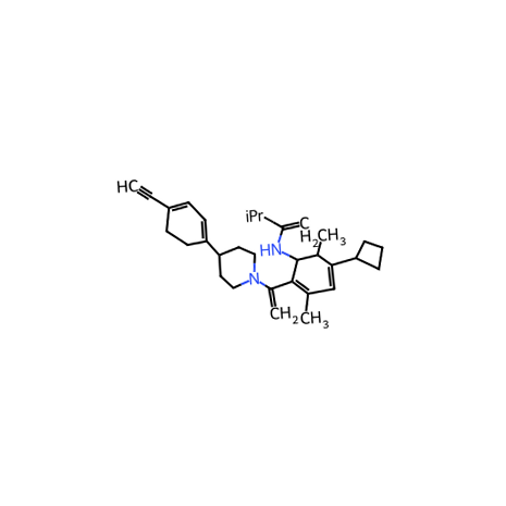 C#CC1=CC=C(C2CCN(C(=C)C3=C(C)C=C(C4CCC4)C(C)C3NC(=C)C(C)C)CC2)CC1